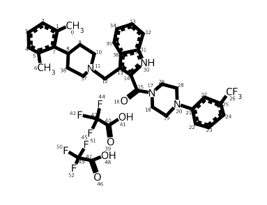 Cc1cccc(C)c1C1CCN(Cc2c(C(=O)N3CCN(c4cccc(C(F)(F)F)c4)CC3)[nH]c3ccccc23)CC1.O=C(O)C(F)(F)F.O=C(O)C(F)(F)F